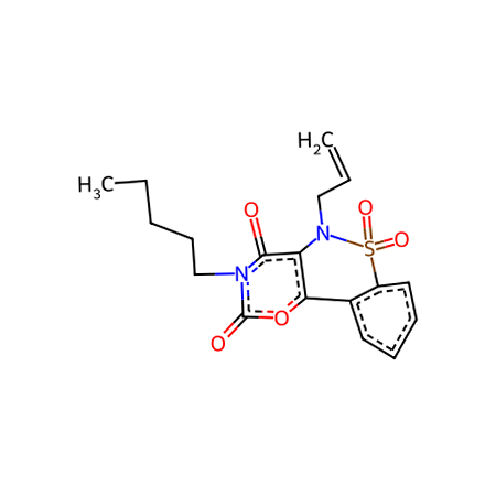 C=CCN1c2c(oc(=O)n(CCCCC)c2=O)-c2ccccc2S1(=O)=O